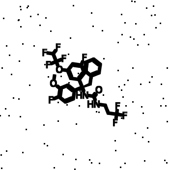 COc1cc([C@@](Cc2ccccc2)(NC(=O)NCCC(F)(F)F)c2cc(F)cc(OC(F)(F)C(F)F)c2)ccc1F